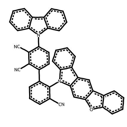 N#Cc1cccc(-c2ccc(-n3c4ccccc4c4ccccc43)c(C#N)c2C#N)c1-n1c2ccccc2c2cc3c(cc21)oc1ccccc13